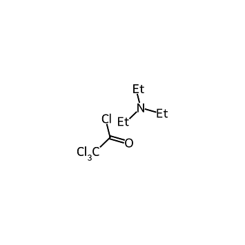 CCN(CC)CC.O=C(Cl)C(Cl)(Cl)Cl